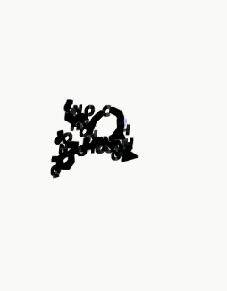 CCn1ccc(C(=O)N[C@H]2CCCCC/C=C\[C@@H]3C[C@@]3(C(=O)N[S+]([O-])C3(C)CC3)NC(=O)[C@@H]3C[C@@H](Oc4cc(OC(C)C)nc5c(C)c(OC)ccc45)CN3C2=O)n1